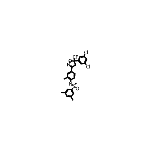 Cc1cc(C)cc(S(C)(=O)=Nc2ccc(C3=NOC(c4cc(Cl)cc(Cl)c4)(C(F)(F)F)C3)cc2C)c1